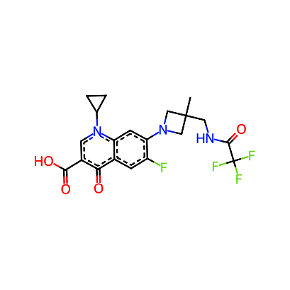 CC1(CNC(=O)C(F)(F)F)CN(c2cc3c(cc2F)c(=O)c(C(=O)O)cn3C2CC2)C1